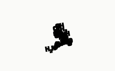 CC(=O)O.NCc1cccc(Cn2cc(-c3nc4c5c(ccc4[nH]c3=O)OCCO5)c3cc4c(cc32)OCO4)c1